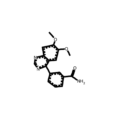 COc1cc2ncnc(-c3cccc(C(N)=O)c3)c2cc1OC